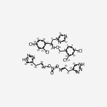 Clc1ccc(CON=C(Cn2cncn2)c2ccc(Cl)cc2Cl)c(Cl)c1.O=[N+](ON=CCc1c[nH]nn1)ON=CCc1c[nH]nn1